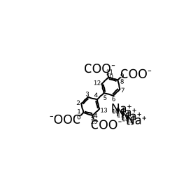 O=C([O-])c1ccc(-c2ccc(C(=O)[O-])c(C(=O)[O-])c2)cc1C(=O)[O-].[Na+].[Na+].[Na+].[Na+]